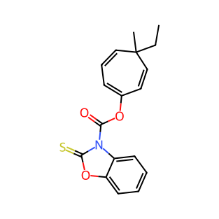 CCC1(C)C=CC=C(OC(=O)n2c(=S)oc3ccccc32)C=C1